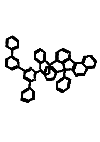 c1ccc(-c2cccc(-c3cc(-c4ccccc4)nc(-c4ccc(-c5cccc6c5C(c5ccccc5)(c5ccccc5)c5ccc7ccccc7c5-6)c5ccccc45)n3)c2)cc1